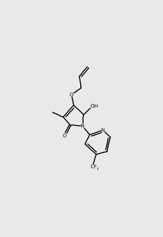 C=CCOC1=C(C)C(=O)N(c2cc(C(F)(F)F)ccn2)C1O